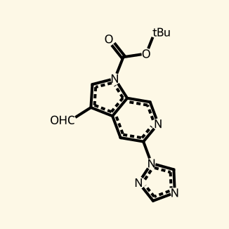 CC(C)(C)OC(=O)n1cc(C=O)c2cc(-n3cncn3)ncc21